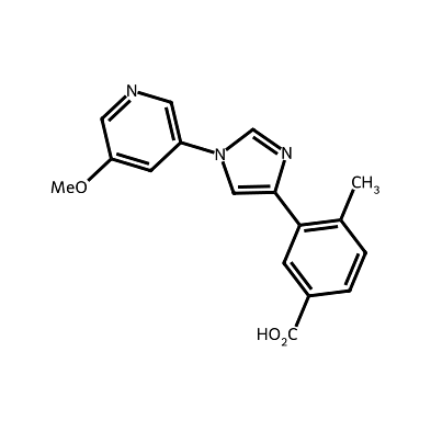 COc1cncc(-n2cnc(-c3cc(C(=O)O)ccc3C)c2)c1